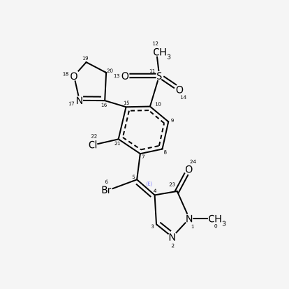 CN1N=C/C(=C(\Br)c2ccc(S(C)(=O)=O)c(C3=NOCC3)c2Cl)C1=O